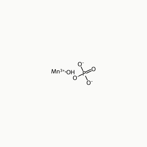 O=P([O-])([O-])[O-].[OH][Mn+3]